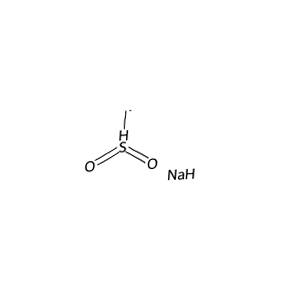 [CH2][SH](=O)=O.[NaH]